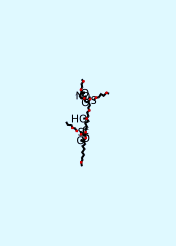 CCCCCCCCCC(=O)OC(CCCCCC(O)CCCCCC(OC(=O)CN(C)C(=O)CCCCC)C(C)SCCCCCC)CSCCCCCC